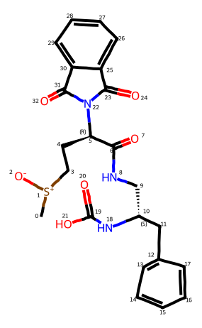 C[S+]([O-])CC[C@H](C(=O)NC[C@H](Cc1ccccc1)NC(=O)O)N1C(=O)c2ccccc2C1=O